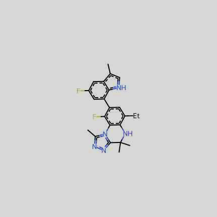 CCc1cc(-c2cc(F)cc3c(C)c[nH]c23)c(F)c2c1NC(C)(C)c1nnc(C)n1-2